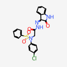 O=C(CN(c1ccc(Cl)cc1)S(=O)(=O)c1ccccc1)N/N=C1\C(=O)Nc2ccccc21